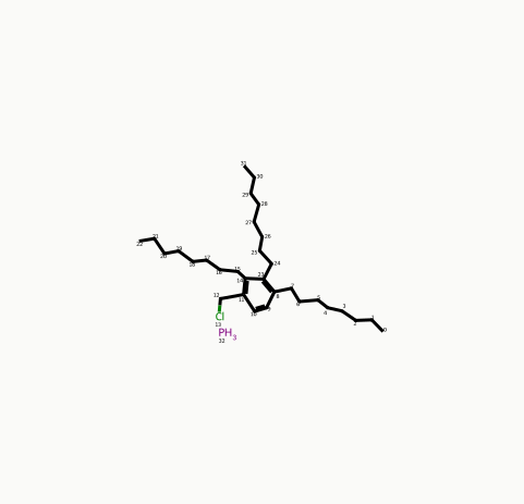 CCCCCCCCc1ccc(CCl)c(CCCCCCCC)c1CCCCCCCC.P